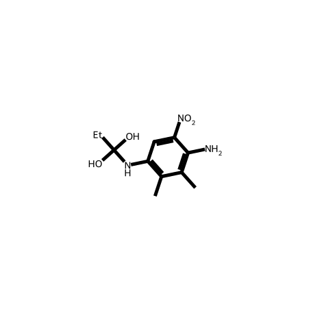 CCC(O)(O)Nc1cc([N+](=O)[O-])c(N)c(C)c1C